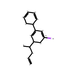 C=CCC(C)C1C=C(C2C=CC=CC2)C=C(I)C1